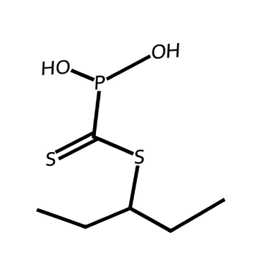 CCC(CC)SC(=S)P(O)O